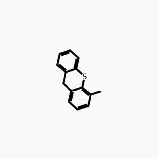 Cc1cccc2c1Sc1ccccc1C2